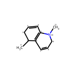 CC1CC=CC2=C1C=CCN2C